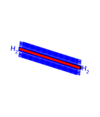 NNNNNNNNNNNNNNNNNNNNNNNNNNNNNNNNNNNNNNNNNNNNNNNNNNNNNNNNNNNNNNNNNNNNNNNNNNNNNNNNNNNNNNNNNNNNNNNNNNNNNNNNNNNNNNNNNNNNNNNNNNNNNNNNNNNNNNNN